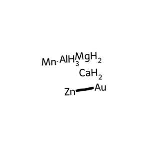 [AlH3].[CaH2].[MgH2].[Mn].[Zn][Au]